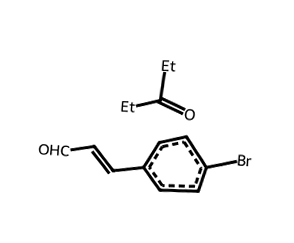 CCC(=O)CC.O=C/C=C/c1ccc(Br)cc1